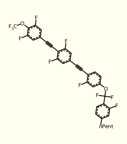 CCCCCc1ccc(C(F)(F)Oc2ccc(C#Cc3cc(F)c(C#Cc4cc(F)c(OC(F)(F)F)c(F)c4)c(F)c3)c(F)c2)c(F)c1